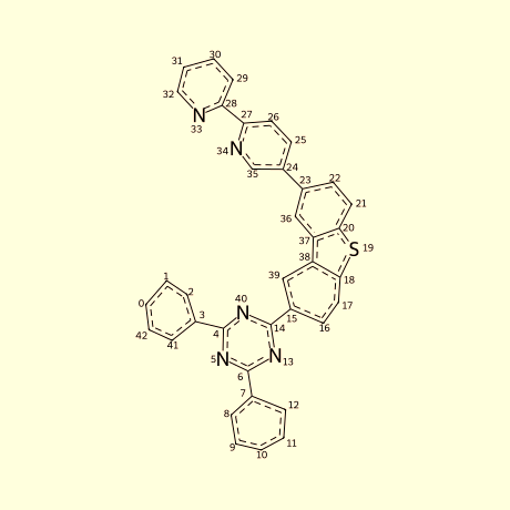 c1ccc(-c2nc(-c3ccccc3)nc(-c3ccc4sc5ccc(-c6ccc(-c7ccccn7)nc6)cc5c4c3)n2)cc1